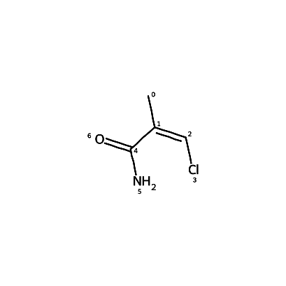 CC(=CCl)C(N)=O